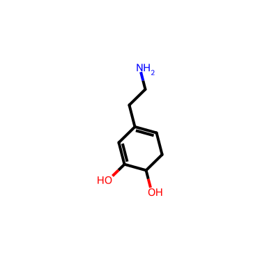 NCCC1=CCC(O)C(O)=C1